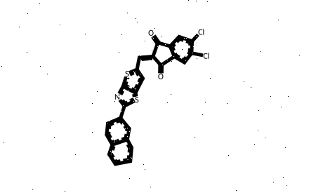 O=C1C(=Cc2cc3sc(-c4ccc5ccccc5c4)nc3s2)C(=O)c2cc(Cl)c(Cl)cc21